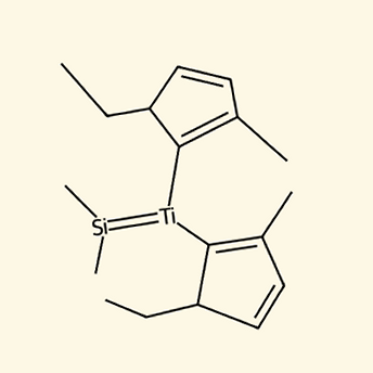 CCC1C=CC(C)=[C]1[Ti]([C]1=C(C)C=CC1CC)=[Si](C)C